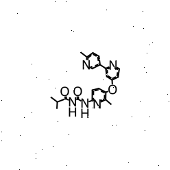 Cc1ccc(-c2cc(Oc3ccc(NC(=O)NC(=O)C(C)C)nc3C)ccn2)cn1